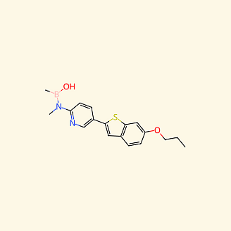 CCCOc1ccc2cc(-c3ccc(N(C)B(C)O)nc3)sc2c1